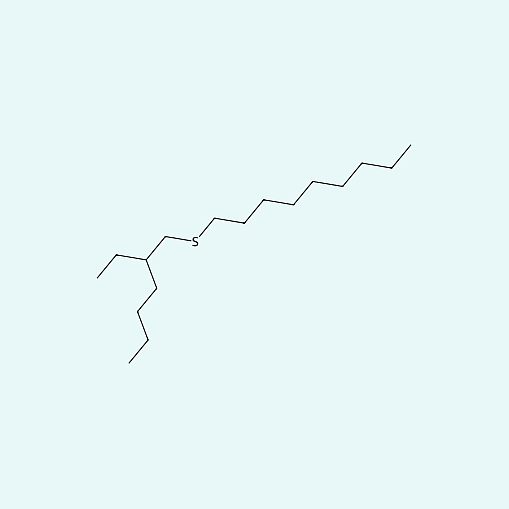 CCCCCCCCCSCC(CC)CCCC